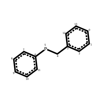 c1ccc(C[P]c2ccccc2)cc1